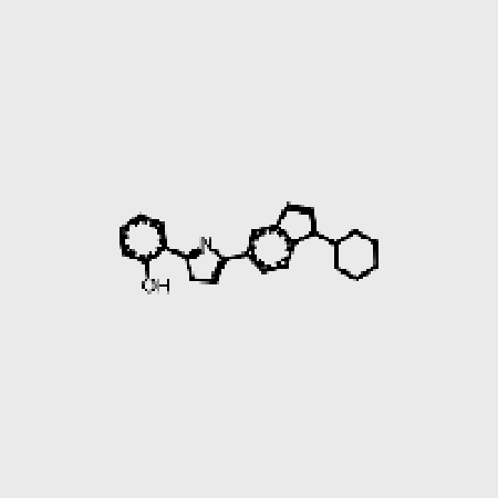 Oc1ccccc1C1=NC(c2ccc3c(c2)C=CC3C2CCCCC2)=CC1